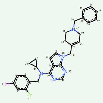 Fc1cc(I)ccc1CN(c1ncnc2c1ccn2CC1=CCN(Cc2ccccc2)CC1)C1CC1